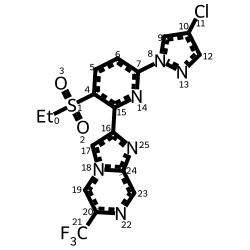 CCS(=O)(=O)c1ccc(-n2cc(Cl)cn2)nc1-c1cn2cc(C(F)(F)F)ncc2n1